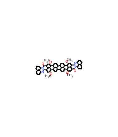 COc1cc2c(=O)n3c4cccc5cccc(nc3c3cc(OC)c6c7ccc8c9ccc%10c%11c(OC)cc%12c(=O)n%13c%14cccc%15cccc(nc%13c%13cc(OC)c(c%16ccc(c%17ccc(c1c6c23)c7c%178)c9c%10%16)c%11c%12%13)c%15%14)c54